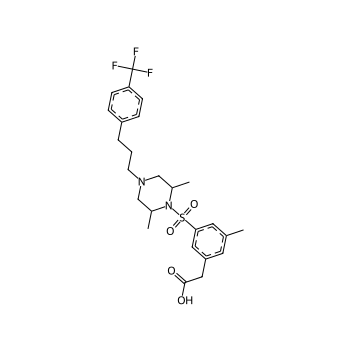 Cc1cc(CC(=O)O)cc(S(=O)(=O)N2C(C)CN(CCCc3ccc(C(F)(F)F)cc3)CC2C)c1